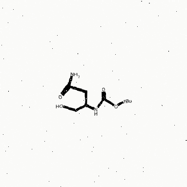 CC(C)(C)OC(=O)NC(CO)CC(N)=O